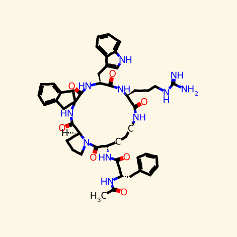 CC(=O)N[C@@H](Cc1ccccc1)C(=O)N[C@H]1CCCNC(=O)[C@H](CCCNC(=N)N)NC(=O)[C@H](Cc2c[nH]c3ccccc23)NC(=O)C2(Cc3ccccc3C2)NC(=O)[C@@H]2CCCN2C1=O